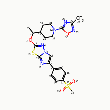 CC(Oc1nn2cc(-c3ccc(S(C)(=O)=O)cc3)nc2s1)C1CCN(c2nc(C(F)(F)F)no2)CC1